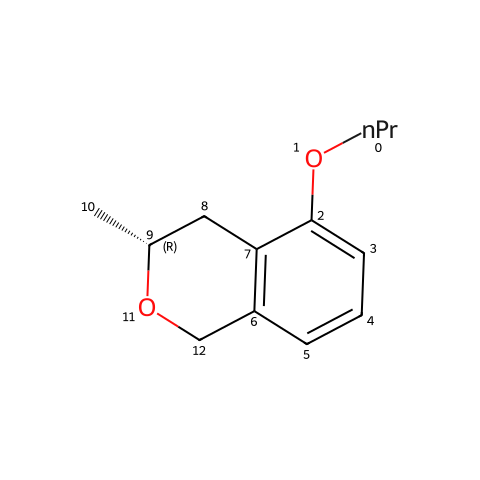 CCCOc1cccc2c1C[C@@H](C)OC2